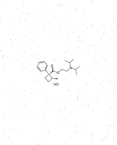 CC(C)N(CCOC(=O)[C@]1(c2ccccc2)CC[C@@H]1C)C(C)C.Cl